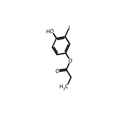 CCC(=O)Oc1ccc(O)c(I)c1